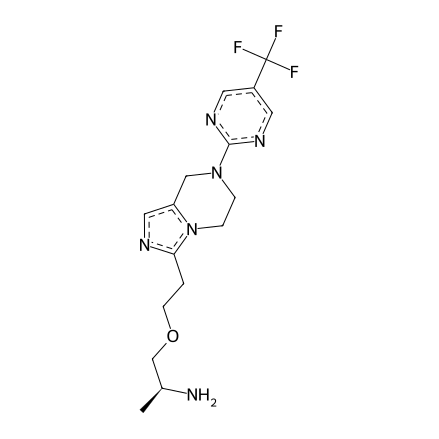 C[C@H](N)COCCc1ncc2n1CCN(c1ncc(C(F)(F)F)cn1)C2